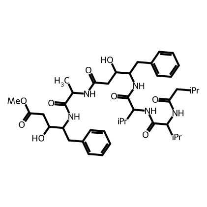 COC(=O)CC(O)C(Cc1ccccc1)NC(=O)C(C)NC(=O)CC(O)C(Cc1ccccc1)NC(=O)C(NC(=O)C(NC(=O)CC(C)C)C(C)C)C(C)C